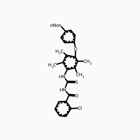 CCCCCCCCCc1ccc(Oc2c(C)c(C)c(NC(=S)NC(=O)c3ccccc3Cl)c(C)c2C)cc1